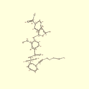 COCCCC#Cc1ccccc1S(=O)(=O)NC(=O)c1ccc(Cc2cn(C)c3ccc([N+](=O)[O-])cc23)c(OC)c1